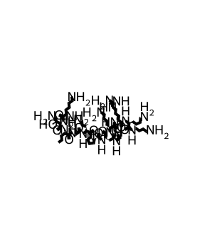 CC[C@H](C)[C@H](NC(=O)[C@@H](NC(=O)[C@@H](N)CCCCN)[C@@H](O)CN)C(=O)NCC(=O)N[C@H](CCCN)C(=O)N1CCC[C@H]1C(=O)N[C@@H](Cc1cnc[nH]1)C(=O)N[C@@H](CCCCN)C(=O)N/C(=C\CCNC(=N)N)C(=O)N[C@@H](CCCCN)C(=O)NCCCCN